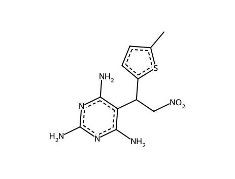 Cc1ccc(C(C[N+](=O)[O-])c2c(N)nc(N)nc2N)s1